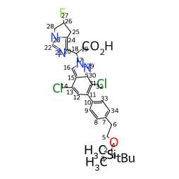 CC(C)(C)[Si](C)(C)OCCc1ccc(-c2cc(Cl)c3cn(C(C(=O)O)c4ncn5c4CC(F)C5)nc3c2Cl)cc1